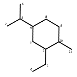 CCC1CC(C(C)C)CCC1C